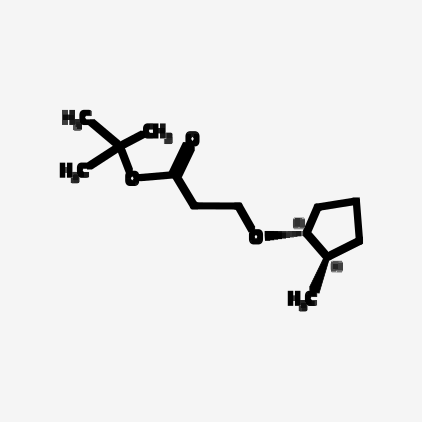 C[C@@H]1CCC[C@H]1OCCC(=O)OC(C)(C)C